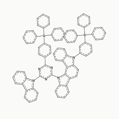 c1ccc([Si](c2ccccc2)(c2ccccc2)c2ccc(-c3nc(-n4c5ccccc5c5ccccc54)nc(-n4c5ccccc5c5ccc6c(c7ccccc7n6-c6cccc([Si](c7ccccc7)(c7ccccc7)c7ccccc7)c6)c54)n3)cc2)cc1